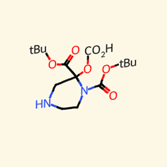 CC(C)(C)OC(=O)N1CCNCC1(OC(=O)O)C(=O)OC(C)(C)C